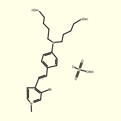 CCCCCCCCCCCCCCN(CCCCCCCCCCCCCC)c1ccc(/C=C/c2cc[n+](C)cc2Br)cc1.COS(=O)(=O)[O-]